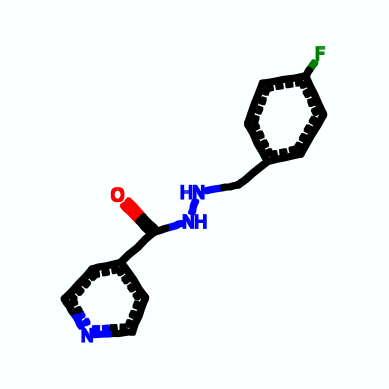 O=C(NNCc1ccc(F)cc1)c1ccncc1